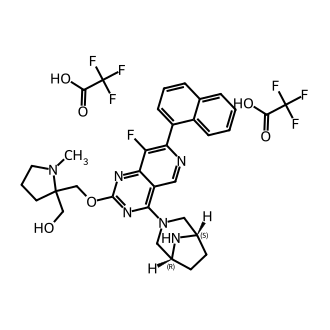 CN1CCCC1(CO)COc1nc(N2C[C@H]3CC[C@@H](C2)N3)c2cnc(-c3cccc4ccccc34)c(F)c2n1.O=C(O)C(F)(F)F.O=C(O)C(F)(F)F